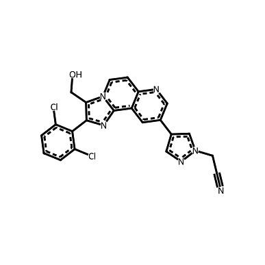 N#CCn1cc(-c2cnc3ccn4c(CO)c(-c5c(Cl)cccc5Cl)nc4c3c2)cn1